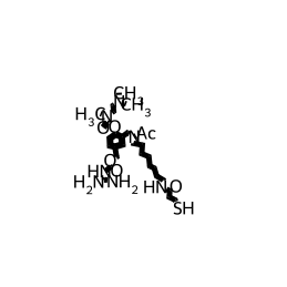 CC(=O)N(CCCCCCCCNC(=O)CCS)Cc1cc(COC(=O)NC(N)N)ccc1OC(=O)N(C)CCN(C)C